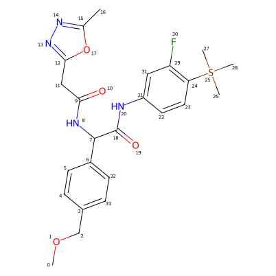 COCc1ccc(C(NC(=O)Cc2nnc(C)o2)C(=O)Nc2ccc(S(C)(C)C)c(F)c2)cc1